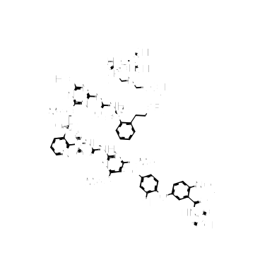 CCS(=O)(=O)c1cccnc1S(=O)(=O)NC(=O)Nc1nc(OC)cc(OC)n1.COc1nc(C)nc(NC(=O)NS(=O)(=O)c2ccccc2CCC(F)(F)F)n1.CS(=O)(=O)NC(=O)c1cc(Oc2ccc(C(F)(F)F)cc2Cl)ccc1[N+](=O)[O-].C[S+](C)C.O=C(O)CNCP(=O)([O-])O